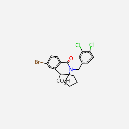 O=C(O)C1c2cc(Br)ccc2C(=O)N(Cc2ccc(Cl)c(Cl)c2)C12CCCC2